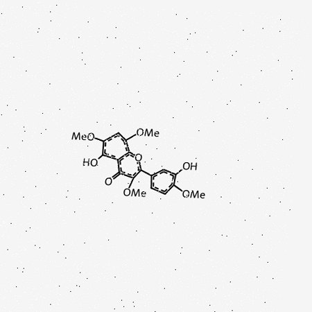 COc1ccc(-c2oc3c(OC)cc(OC)c(O)c3c(=O)c2OC)cc1O